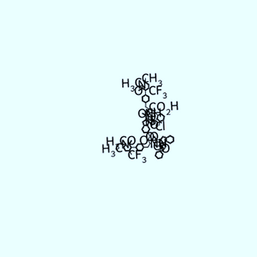 Cc1cc(C(F)(F)F)c(-c2ccc(CC(NC(=O)c3cc4ccc(OC(=O)C(Cc5ccc(-c6c(C(F)(F)F)cc(C)n(C)c6=O)cc5)NC(=O)c5cc6ccccc6n5S(=O)(=O)c5ccccc5)cc4n3S(=O)(=O)c3c(Cl)cccc3Cl)C(=O)O)cc2)c(=O)n1C